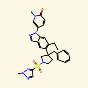 CCc1cc2c(cnn2-c2ccc(=O)n(C)c2)cc1C1(Cc2ccccc2)CCN(S(=O)(=O)c2cnn(C)n2)C1